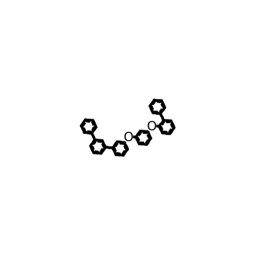 c1ccc(-c2cccc(-c3cccc(Oc4cccc(Oc5ccccc5-c5ccccc5)c4)c3)c2)cc1